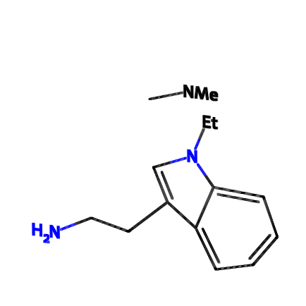 CCn1cc(CCN)c2ccccc21.CNC